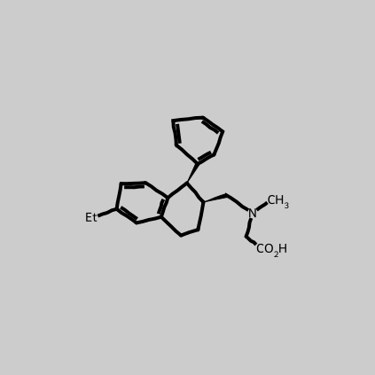 CCc1ccc2c(c1)CC[C@H](CN(C)CC(=O)O)[C@@H]2c1ccccc1